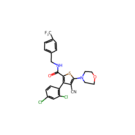 N#Cc1c(N2CCOCC2)sc(C(=O)NCc2ccc(C(F)(F)F)cc2)c1-c1ccc(Cl)cc1Cl